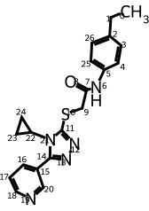 CCc1ccc(NC(=O)CSc2nnc(-c3cccnc3)n2C2CC2)cc1